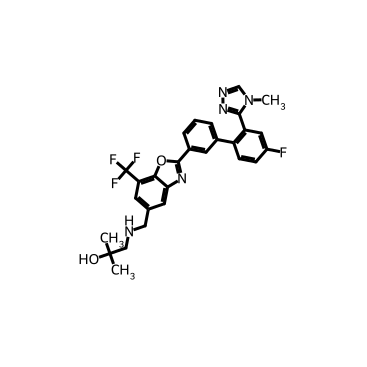 Cn1cnnc1-c1cc(F)ccc1-c1cccc(-c2nc3cc(CNCC(C)(C)O)cc(C(F)(F)F)c3o2)c1